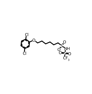 O=S(=O)(CCCCCCOc1cc(Cl)ccc1Cl)NS(=O)(=O)C(F)(F)F